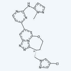 Cn1nccc1Nc1nccc(-c2cc3n4c(nnc4c2)[C@@H](Cn2cc(Cl)cn2)CCO3)n1